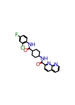 O=C(NC1CCC(C(=O)Nc2ccc(F)cc2Cl)CC1)c1ccc2cccnc2n1